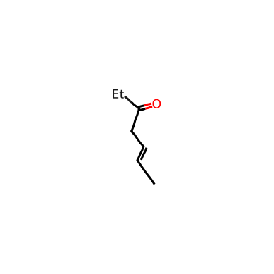 CC=CCC(=O)CC